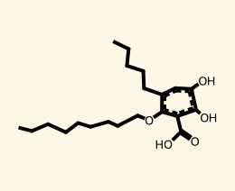 CCCCCCCCCOc1c(CCCCC)cc(O)c(O)c1C(=O)O